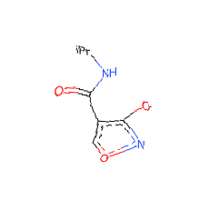 CC(C)NC(=O)c1conc1[O]